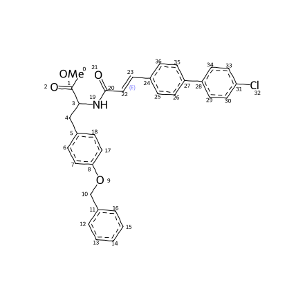 COC(=O)C(Cc1ccc(OCc2ccccc2)cc1)NC(=O)/C=C/c1ccc(-c2ccc(Cl)cc2)cc1